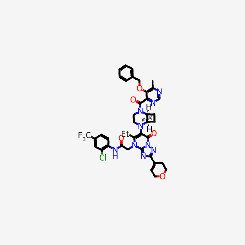 CCc1c(N2CCN(C(=O)c3ncnc(C)c3OCc3ccccc3)[C@H]3CC[C@H]32)c(=O)n2nc(C3=CCOCC3)nc2n1CC(=O)Nc1ccc(C(F)(F)F)cc1Cl